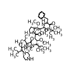 CC[C@H](C)[C@@H](C(CC(=O)N1CCC[C@H]1[C@H](OC)[C@@H](C)C(=O)N[C@@H](Cc1ccccc1)C(=O)NC(C)(C)C)OC)N(C)C(=O)[C@@H](NC(=O)[C@H](C(C)C)N1CCNCC1)C(C)C